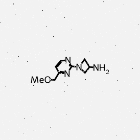 COCc1ccnc(N2CC(N)C2)n1